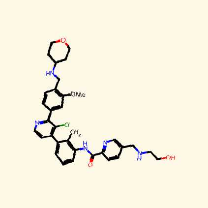 COc1cc(-c2nccc(-c3cccc(NC(=O)c4ccc(CNCCO)cn4)c3C)c2Cl)ccc1CNC1CCOCC1